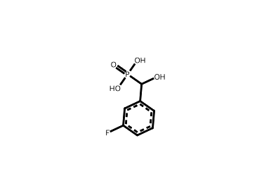 O=P(O)(O)C(O)c1cccc(F)c1